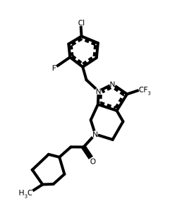 CC1CCC(CC(=O)N2CCc3c(C(F)(F)F)nn(Cc4ccc(Cl)cc4F)c3C2)CC1